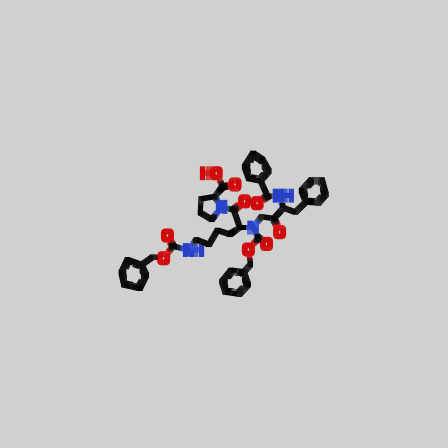 O=C(NCCCC[C@@H](C(=O)N1CCC[C@H]1C(=O)O)N(CC(=O)C(Cc1ccccc1)NC(=O)c1ccccc1)C(=O)OCc1ccccc1)OCc1ccccc1